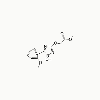 COC(=O)COc1nc(-c2ccccc2OC)n(O)n1